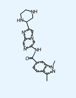 Cc1nn(C)c2cc(C(=O)Nc3cn4cc(C5CNCCN5)nc4cn3)ccc12